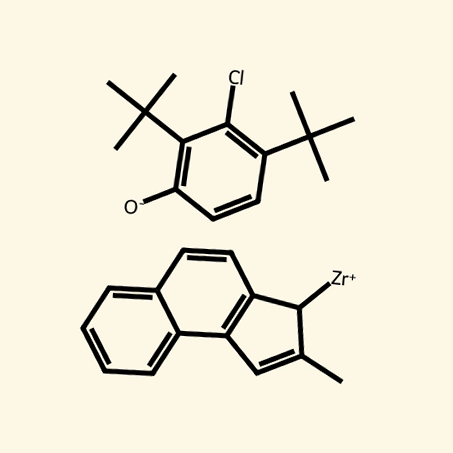 CC(C)(C)c1ccc([O-])c(C(C)(C)C)c1Cl.CC1=Cc2c(ccc3ccccc23)[CH]1[Zr+]